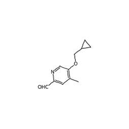 Cc1cc(C=O)ncc1OCC1CC1